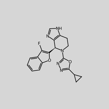 Fc1c([C@H]2c3nc[nH]c3CCN2c2nnc(C3CC3)o2)oc2ccccc12